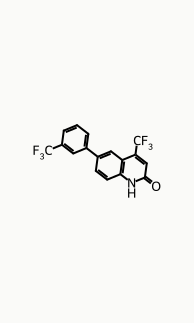 O=c1cc(C(F)(F)F)c2cc(-c3cccc(C(F)(F)F)c3)ccc2[nH]1